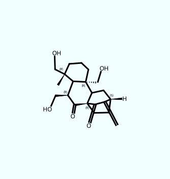 C=C1C(=O)[C@]23CC[C@H]1CC2[C@]1(CO)CCC[C@@](C)(CO)C1[C@H](CO)C3=O